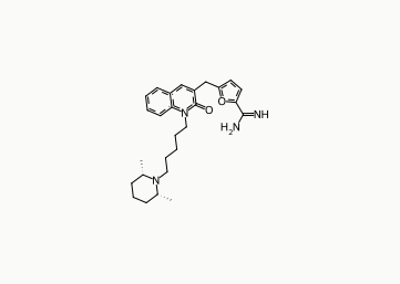 C[C@@H]1CCC[C@H](C)N1CCCCCn1c(=O)c(Cc2ccc(C(=N)N)o2)cc2ccccc21